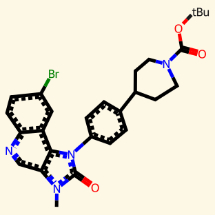 Cn1c(=O)n(-c2ccc(C3CCN(C(=O)OC(C)(C)C)CC3)cc2)c2c3cc(Br)ccc3ncc21